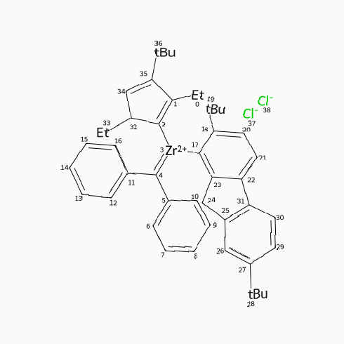 CCC1=[C]([Zr+2](=[C](c2ccccc2)c2ccccc2)[c]2c(C(C)(C)C)ccc3c2Cc2cc(C(C)(C)C)ccc2-3)C(CC)C=C1C(C)(C)C.[Cl-].[Cl-]